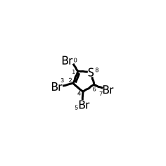 BrC1=C(Br)C(Br)C(Br)S1